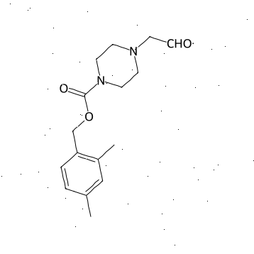 Cc1ccc(COC(=O)N2CCN(C[C]=O)CC2)c(C)c1